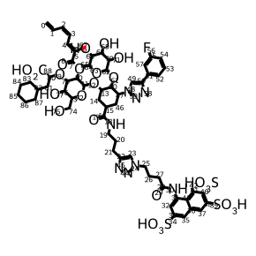 C=C/C=C\C=C(/C)C(=O)OC1C(OC2CC(C(=O)NCCCc3cn(CCCC(=O)Nc4cc(S(=O)(=O)O)cc5cc(S(=O)(=O)O)cc(S(=O)(=O)O)c45)nn3)CC(n3cc(-c4cccc(F)c4)nn3)C2OC2OC(C)C(O)C(O)C2O)OC(CO)C(O)C1O[C@@H](CC1CCCCC1)C(=O)O